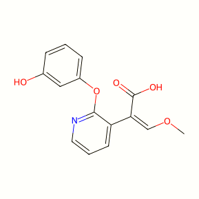 CO/C=C(\C(=O)O)c1cccnc1Oc1cccc(O)c1